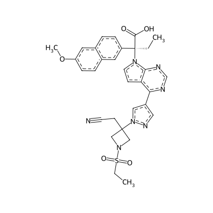 CC[C@@](C(=O)O)(c1ccc2cc(OC)ccc2c1)n1ccc2c(-c3cnn(C4(CC#N)CN(S(=O)(=O)CC)C4)c3)ncnc21